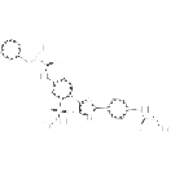 CC(C)NC(=S)Nc1ccc(-c2ncc(-c3ccc(NC(=O)N(C)Cc4ccccc4)cc3S(=O)(=O)NC(C)(C)C)s2)cc1